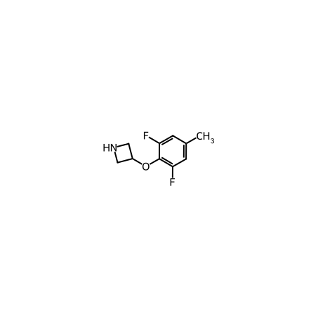 Cc1cc(F)c(OC2CNC2)c(F)c1